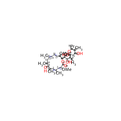 CO/C1=C\C(C)=C\[C@@H](C)[C@@H](O)[C@@H](C)C/C(C)=C/C=C/[C@H](OC)[C@@H](C(C)C(O)C(C)[C@@]2(O)C[C@@H](O)[C@H](C)[C@@H](C(C)C)O2)OC1=O